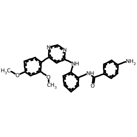 COc1ccc(-c2cc(Nc3ccccc3NC(=O)c3ccc(N)cc3)ncn2)c(OC)c1